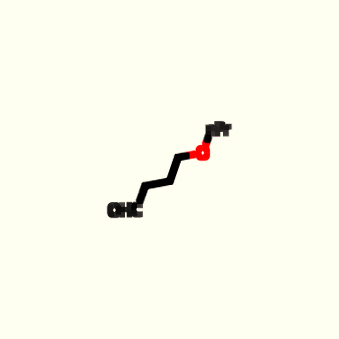 CCCOCCCC=O